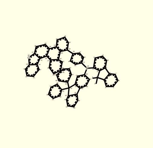 CC1(C)c2ccccc2-c2cccc(N(c3ccc(-c4cccc5c6ccc7oc8ccccc8c7c6c6ccccc6c45)cc3)c3ccc4c(c3)C(c3ccccc3)(c3ccccc3)c3ccccc3-4)c21